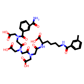 Cc1cccc(C(=O)NCCCCC(NC(=O)CN(CC(=O)O)C(=O)CN(CC(=O)O)C(=O)CN(CC(=O)O)C(=O)c2cccc(C(N)=O)c2)C(=O)O)c1